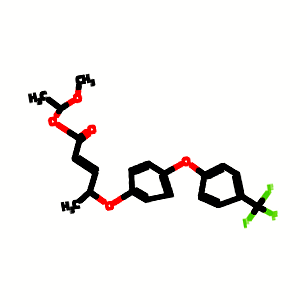 COC(C)OC(=O)C=CC(C)Oc1ccc(Oc2ccc(C(F)(F)F)cc2)cc1